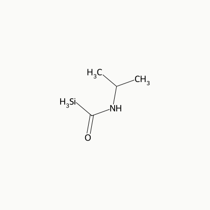 CC(C)NC(=O)[SiH3]